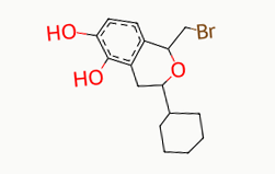 Oc1ccc2c(c1O)CC(C1CCCCC1)OC2CBr